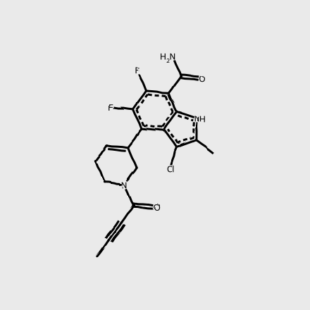 CC#CC(=O)N1CCC=C(c2c(F)c(F)c(C(N)=O)c3[nH]c(C)c(Cl)c23)C1